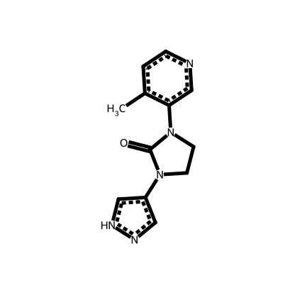 Cc1ccncc1N1CCN(c2cn[nH]c2)C1=O